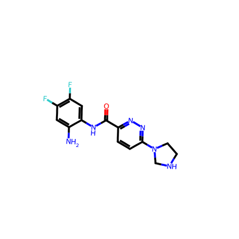 Nc1cc(F)c(F)cc1NC(=O)c1ccc(N2CCNC2)nn1